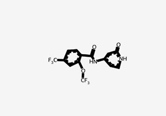 O=C(Nc1cc[nH]c(=O)c1)c1ccc(C(F)(F)F)cc1OC(F)(F)F